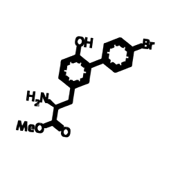 COC(=O)[C@@H](N)Cc1ccc(O)c(-c2ccc(Br)cc2)c1